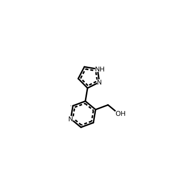 OCc1ccn[c]c1-c1cc[nH]n1